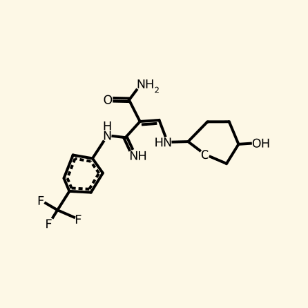 N=C(Nc1ccc(C(F)(F)F)cc1)/C(=C\NC1CCC(O)CC1)C(N)=O